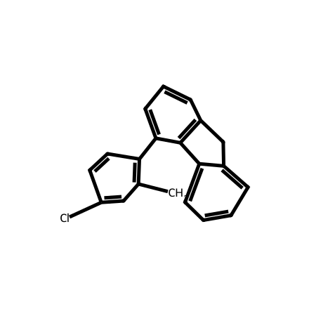 Cc1cc(Cl)ccc1-c1cccc2c1-c1ccccc1C2